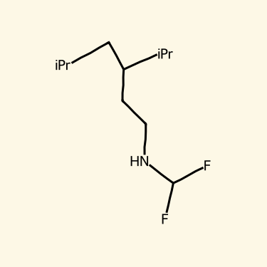 CC(C)CC(CCNC(F)F)C(C)C